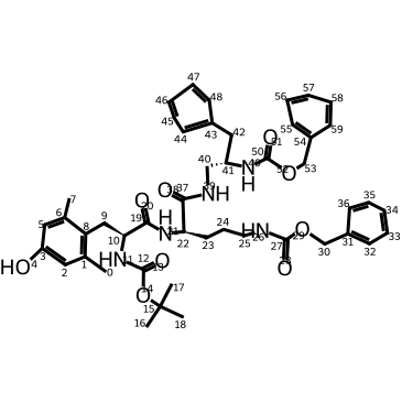 Cc1cc(O)cc(C)c1C[C@H](NC(=O)OC(C)(C)C)C(=O)N[C@H](CCCNC(=O)OCc1ccccc1)C(=O)NC[C@H](Cc1ccccc1)NC(=O)OCc1ccccc1